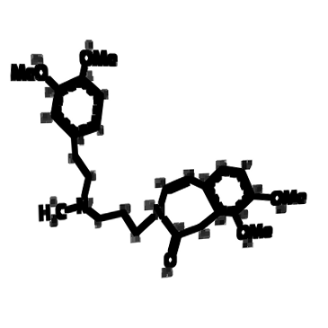 COc1ccc(CCN(C)CCCN2C=Cc3ccc(OC)c(OC)c3CC2=O)cc1OC